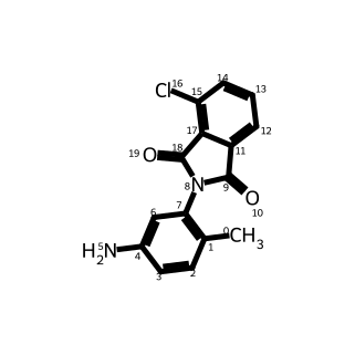 Cc1ccc(N)cc1N1C(=O)c2cccc(Cl)c2C1=O